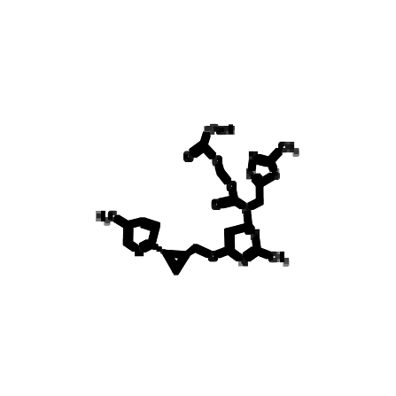 CCCCCC(=O)OCOC(=O)N(Cc1nnc(C)s1)c1cc(OC[C@H]2C[C@@H]2c2ccc(C)cn2)nc(C)n1